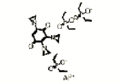 CCP(=O)([O-])CC.CCP(=O)([O-])CC.CCP(=O)([O-])CC.O=C1C=C(N2CC2)C(=O)C(N2CC2)=C1N1CC1.[Al+3]